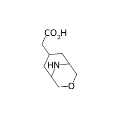 O=C(O)CC1CC2COCC(C1)N2